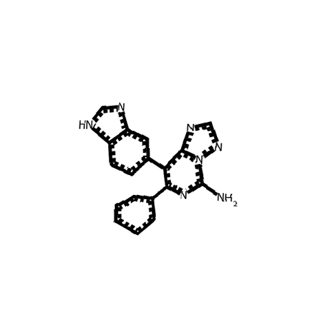 Nc1nc(-c2ccccc2)c(-c2ccc3[nH]cnc3c2)c2ncnn12